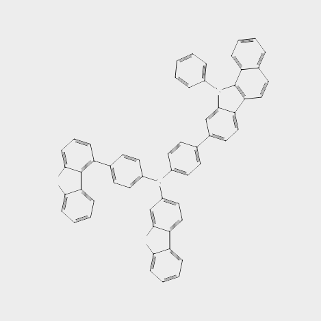 c1ccc(-n2c3cc(-c4ccc(N(c5ccc(-c6cccc7oc8ccccc8c67)cc5)c5ccc6c(c5)sc5ccccc56)cc4)ccc3c3ccc4ccccc4c32)cc1